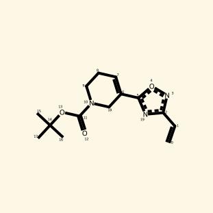 C=Cc1noc(C2=CCCN(C(=O)OC(C)(C)C)C2)n1